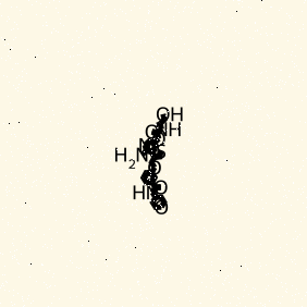 Nc1ncc(OC(=O)NCCO)c2scc(COc3cccc(C(=O)NC4CCOCC4)c3)c12